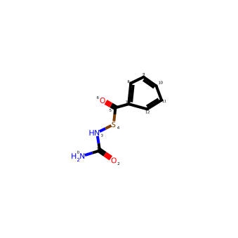 NC(=O)NSC(=O)c1ccccc1